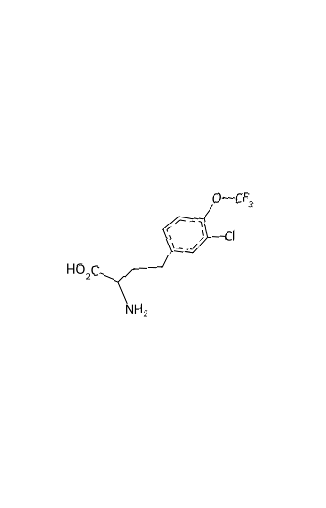 NC(CCc1ccc(OC(F)(F)F)c(Cl)c1)C(=O)O